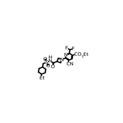 CCOC(=O)c1cc(C#N)c(N2CC(C(=O)NS(=O)(=O)CC3CCC(CC)CC3)C2)nc1C(F)F